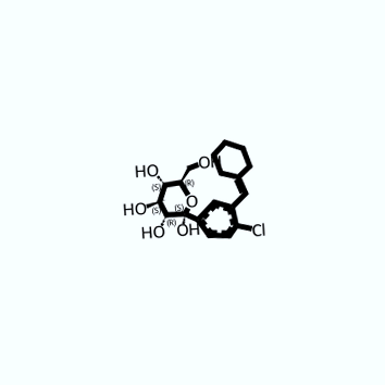 OC[C@H]1O[C@@](O)(c2ccc(Cl)c(C=C3CCCCC3)c2)[C@H](O)[C@@H](O)[C@@H]1O